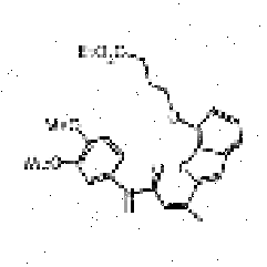 CCOC(=O)CCCOc1cccc2cc(/C(C)=C\C(=O)Nc3ccc(OC)c(OC)c3)oc12